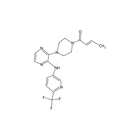 CC=CC(=O)N1CCN(c2nccnc2Nc2ccc(C(F)(F)F)nc2)CC1